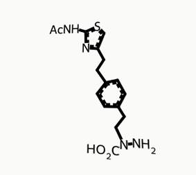 CC(=O)Nc1nc(CCc2ccc(CCN(N)C(=O)O)cc2)cs1